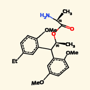 CCc1ccc(OC)c(C(c2cc(OC)ccc2OC)[C@H](C)OC(=O)[C@H](C)N)c1